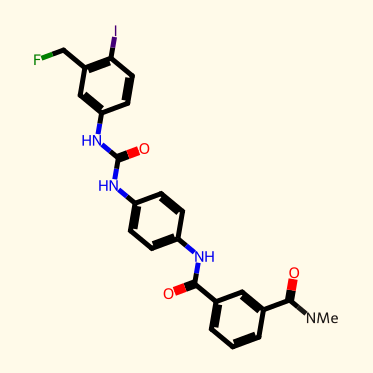 CNC(=O)c1cccc(C(=O)Nc2ccc(NC(=O)Nc3ccc(I)c(CF)c3)cc2)c1